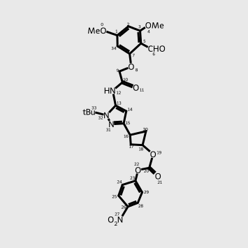 COc1cc(OC)c(C=O)c(OCC(=O)Nc2cc(C3CC(OC(=O)Oc4ccc([N+](=O)[O-])cc4)C3)nn2C(C)(C)C)c1